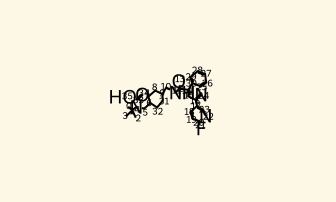 CC(C)(C)N(CC1CCC(CNC(=O)c2cc(-c3ccc(F)nc3)nc3ccccc23)CC1)C(=O)O